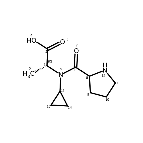 C[C@H](C(=O)O)N(C(=O)C1CCCN1)C1CC1